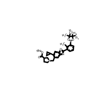 Cc1c(B2OC(C)(C)C(C)(C)O2)cccc1-c1nc2cc(CN3CCC(C(=O)OC(C)(C)C)C3)c(C3CC3)cc2o1